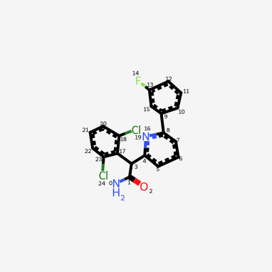 NC(=O)C(c1cccc(-c2cccc(F)c2)n1)c1c(Cl)cccc1Cl